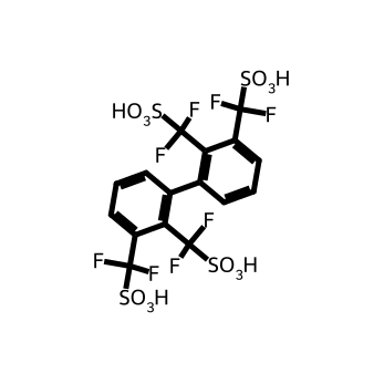 O=S(=O)(O)C(F)(F)c1cccc(-c2cccc(C(F)(F)S(=O)(=O)O)c2C(F)(F)S(=O)(=O)O)c1C(F)(F)S(=O)(=O)O